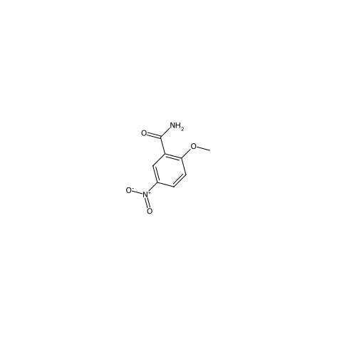 COc1ccc([N+](=O)[O-])cc1C(N)=O